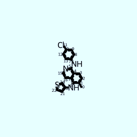 Cc1ccc2c(Nc3ccc(Cl)cc3)nccc2c1Nc1ccsc1